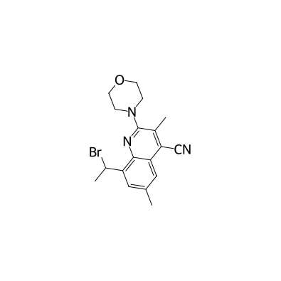 Cc1cc(C(C)Br)c2nc(N3CCOCC3)c(C)c(C#N)c2c1